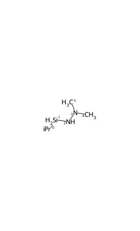 CC(C)[SiH2]NN(C)C